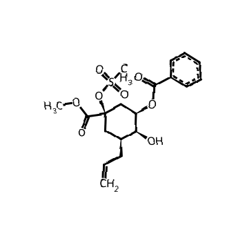 C=CC[C@H]1C[C@](OS(C)(=O)=O)(C(=O)OC)C[C@@H](OC(=O)c2ccccc2)[C@H]1O